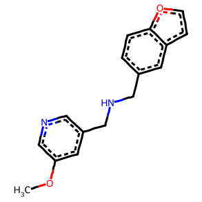 COc1cncc(CNCc2ccc3occc3c2)c1